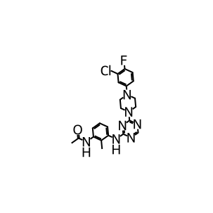 CC(=O)Nc1cccc(Nc2ncnc(N3CCN(c4ccc(F)c(Cl)c4)CC3)n2)c1C